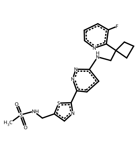 CS(=O)(=O)NCc1cnc(-c2ccc(NCC3(c4ncccc4F)CCC3)nn2)s1